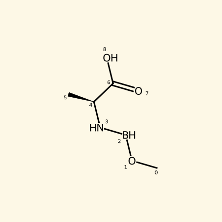 COBN[C@@H](C)C(=O)O